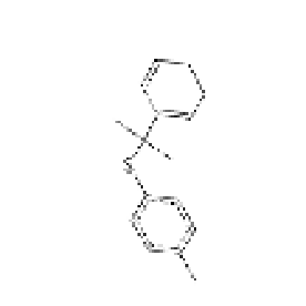 Cc1ccc(SC(C)(C)C2=CCCC=C2)cc1